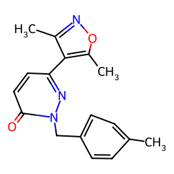 Cc1ccc(Cn2nc(-c3c(C)noc3C)ccc2=O)cc1